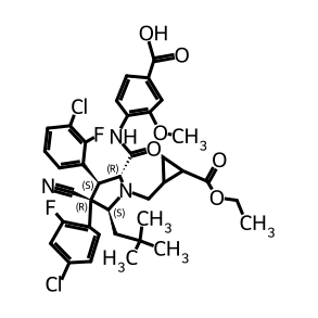 CCOC(=O)C1CC1CN1[C@@H](CC(C)(C)C)[C@](C#N)(c2ccc(Cl)cc2F)[C@@H](c2cccc(Cl)c2F)[C@@H]1C(=O)Nc1ccc(C(=O)O)cc1OC